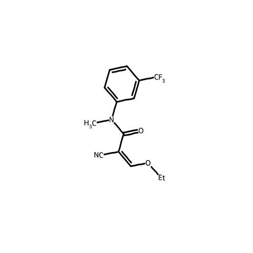 CCO/C=C(/C#N)C(=O)N(C)c1cccc(C(F)(F)F)c1